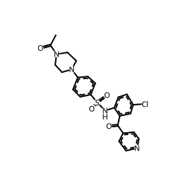 CC(=O)N1CCN(c2ccc(S(=O)(=O)Nc3ccc(Cl)cc3C(=O)c3ccncc3)cc2)CC1